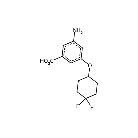 Nc1cc(OC2CCC(F)(F)CC2)cc(C(=O)O)c1